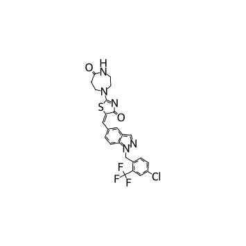 O=C1CCN(C2=NC(=O)C(=Cc3ccc4c(cnn4Cc4ccc(Cl)cc4C(F)(F)F)c3)S2)CCN1